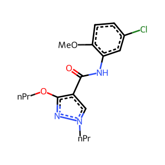 CCCOc1nn(CCC)cc1C(=O)Nc1cc(Cl)ccc1OC